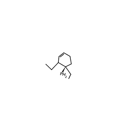 CCC1C=CCC[C@]1(P)CC